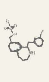 CCS(=O)(=O)NCc1ccc2c(c1)C(Cc1cccc(F)c1)NCCC2